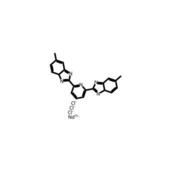 CC1=CC2=NC(c3cccc(C4=NC5C=CC(C)=CC5=N4)n3)=NC2C=C1.[Cl-].[Cl-].[Cl-].[Nd+3]